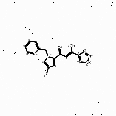 CCc1cc(C(=O)C=C(O)c2nn[nH]n2)n(Cc2ccccn2)c1